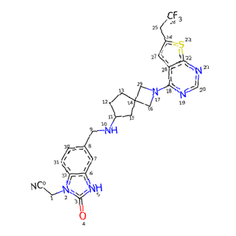 N#CCn1c(=O)[nH]c2cc(CNC3CCC4(C3)CN(c3ncnc5sc(CC(F)(F)F)cc35)C4)ccc21